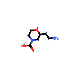 NCCC1CN(C(=O)O)CCO1